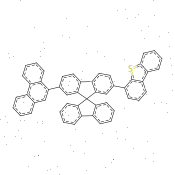 c1ccc2c(c1)-c1ccccc1C21c2cc(-c3cc4ccccc4c4ccccc34)ccc2-c2ccc(-c3cccc4c3sc3ccccc34)cc21